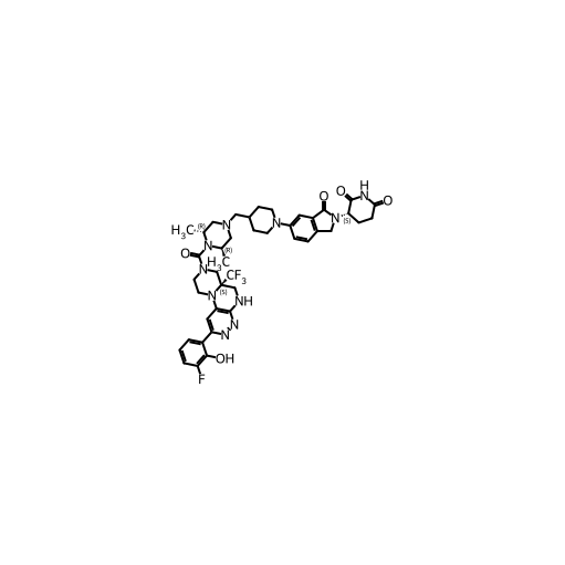 C[C@@H]1CN(CC2CCN(c3ccc4c(c3)C(=O)N([C@H]3CCC(=O)NC3=O)C4)CC2)C[C@@H](C)N1C(=O)N1CCN2c3cc(-c4cccc(F)c4O)nnc3NC[C@@]2(C(F)(F)F)C1